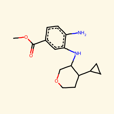 COC(=O)c1ccc(N)c(NC2COCCC2C2CC2)c1